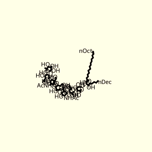 CCCCCCCC/C=C\CCCCCCCCCCCCCC(=O)N[C@@H](CO[C@@H]1OC(CO)[C@@H](O[C@@H]2OC(CO)[C@H](O)[C@H](O[C@@H]3OC(CO)[C@@H](O[C@@H]4OC(CO)[C@H](O)[C@H](O[C@@H]5OC(CO)[C@@H](O[C@@H]6OC(CO)[C@H](O)[C@H](O)C6O[C@H]6OC(C)[C@@H](O)C(O)[C@@H]6O)[C@H](O)C5NC(C)=O)C4O)[C@H](O)C3NC(C)=O)C2O)[C@H](O)C1O)[C@H](O)/C=C/CCCCCCCCCCCCC